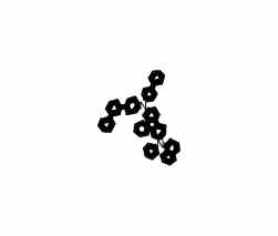 c1ccc(-c2ccc(N(c3ccc(-c4cccc(-c5ccccc5)c4)cc3)c3ccc4c(c3)C3(CCCCC3)c3cc(N(c5ccccc5)c5cccc6ccccc56)ccc3-4)cc2)cc1